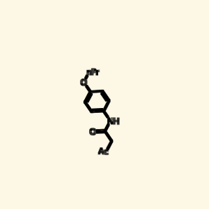 CCCOc1ccc(NC(=O)CC(C)=O)cc1